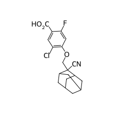 N#CC1(COc2cc(F)c(C(=O)O)cc2Cl)C2CC3CC(C2)CC1C3